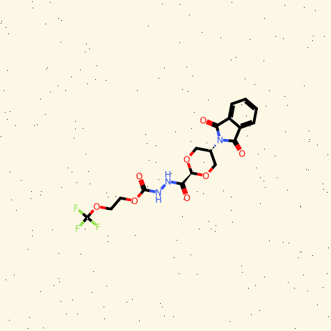 O=C(NNC(=O)[C@H]1OC[C@H](N2C(=O)c3ccccc3C2=O)CO1)OCCOC(F)(F)F